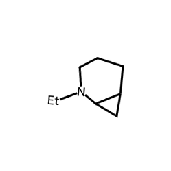 CCN1CCCC2CC21